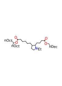 CCCCCCCCCCCOC(=O)CCCC1C(CCCCCC(=O)OC(CCCCCCCC)CCCCCCCC)CCN1CC